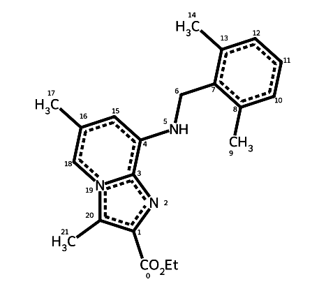 CCOC(=O)c1nc2c(NCc3c(C)cccc3C)cc(C)cn2c1C